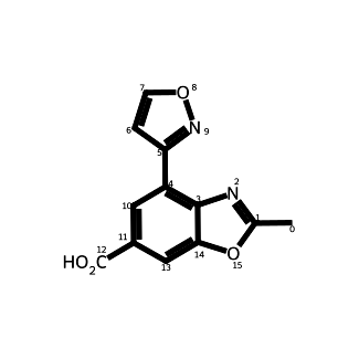 Cc1nc2c(-c3ccon3)cc(C(=O)O)cc2o1